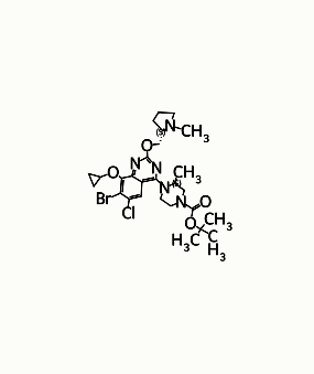 C[C@H]1CN(C(=O)OC(C)(C)C)CCN1c1nc(OC[C@@H]2CCCN2C)nc2c(OC3CC3)c(Br)c(Cl)cc12